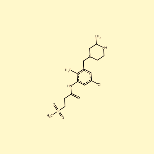 Cc1c(CN2CCNC(C)C2)cc(Cl)cc1NC(=O)CCS(C)(=O)=O